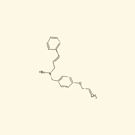 C=CCOc1ccc(CN(C/C=C/c2ccccc2)CCCC)cc1